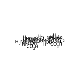 CC(=O)N[C@H]1[C@H]([C@H](O)[C@H](O)CNC(=O)OBOC(=O)NC[C@@H](O)[C@@H](O)[C@@H]2OC(C(=O)O)=C[C@H](NC(=N)N)[C@H]2NC(C)=O)OC(C(=O)O)=C[C@@H]1NC(=N)N